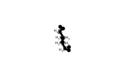 CC(=COc1ccccc1-c1ccccc1)C(=O)OCCCOc1c(C)cc(-c2cc(C)c(OCCCOC(=O)C(C)=COc3ccccc3-c3ccccc3)c(C)c2)cc1C